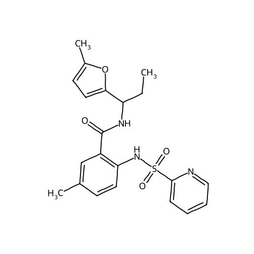 CCC(NC(=O)c1cc(C)ccc1NS(=O)(=O)c1ccccn1)c1ccc(C)o1